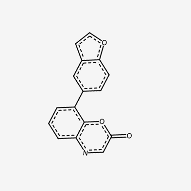 O=c1cnc2cccc(-c3ccc4occc4c3)c2o1